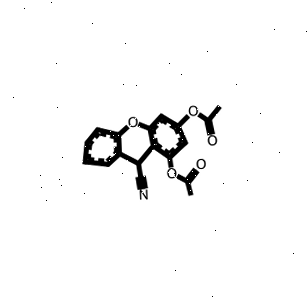 CC(=O)Oc1cc(OC(C)=O)c2c(c1)Oc1ccccc1C2C#N